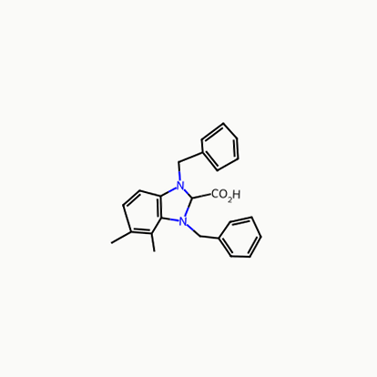 Cc1ccc2c(c1C)N(Cc1ccccc1)C(C(=O)O)N2Cc1ccccc1